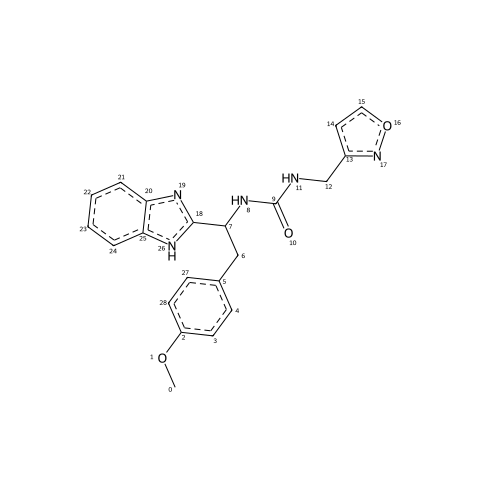 COc1ccc(CC(NC(=O)NCc2ccon2)c2nc3ccccc3[nH]2)cc1